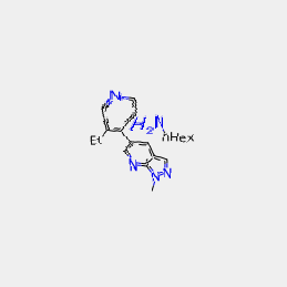 CCCCCCN.CCc1cnccc1-c1cnc2c(cnn2C)c1